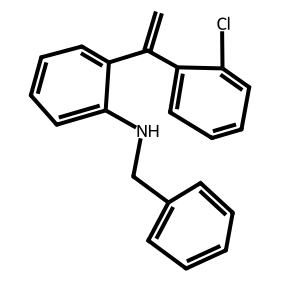 C=C(c1ccccc1Cl)c1ccccc1NCc1ccccc1